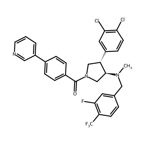 CN(Cc1ccc(C(F)(F)F)c(F)c1)[C@H]1CN(C(=O)c2ccc(-c3cccnc3)cc2)C[C@@H]1c1ccc(Cl)c(Cl)c1